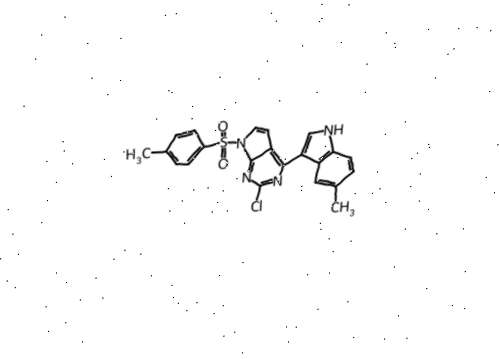 Cc1ccc(S(=O)(=O)n2ccc3c(-c4c[nH]c5ccc(C)cc45)nc(Cl)nc32)cc1